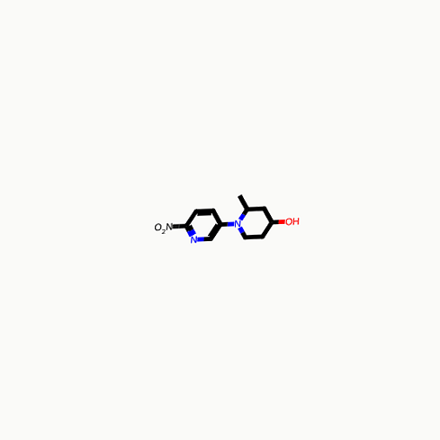 CC1CC(O)CCN1c1ccc([N+](=O)[O-])nc1